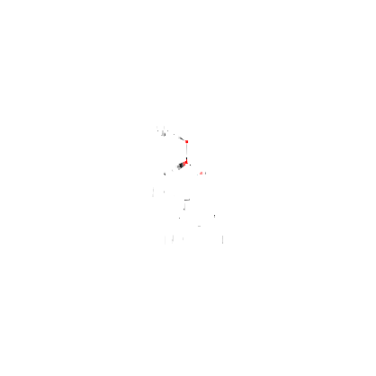 CC1(C)OC2(C)C(OC(=O)CO)CC1CC2OC(=O)CO